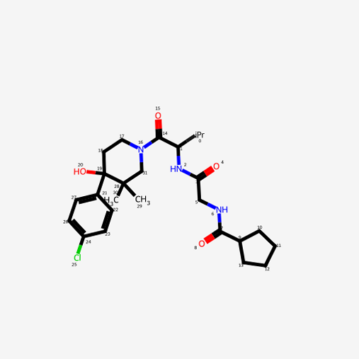 CC(C)C(NC(=O)CNC(=O)C1CCCC1)C(=O)N1CCC(O)(c2ccc(Cl)cc2)C(C)(C)C1